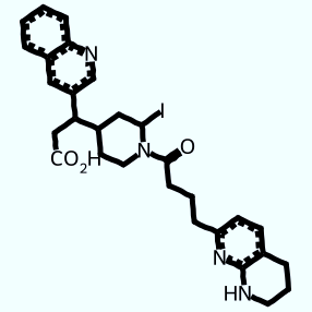 O=C(O)CC(c1cnc2ccccc2c1)C1CCN(C(=O)CCCc2ccc3c(n2)NCCC3)C(I)C1